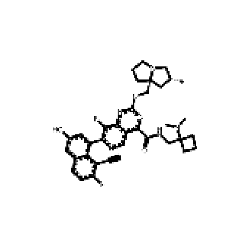 C#Cc1c(F)ccc2cc(O)cc(-c3ncc4c(C(=O)NCC5(N(C)C)CCC5)nc(OC[C@@]56CCCN5C[C@H](F)C6)nc4c3F)c12